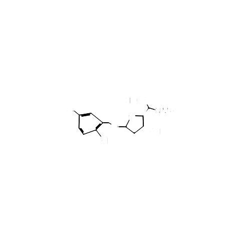 CNC(C(=O)O)[C@@H]1OC(OCc2cc(Cl)ccc2Cl)C[C@H]1C